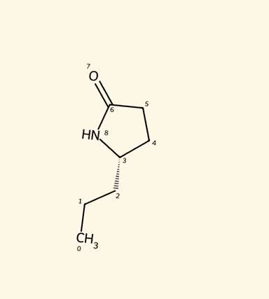 CCC[C@H]1CCC(=O)N1